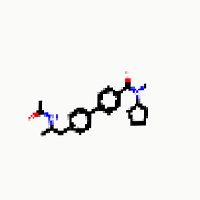 CC(=O)NC(C)Cc1ccc(-c2ccc(C(=O)N(C)C3CCCC3)cc2)cc1